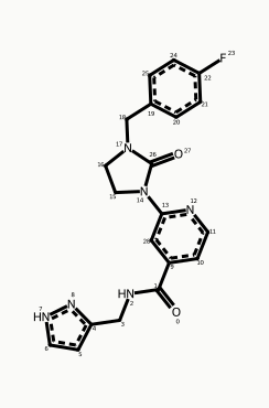 O=C(NCc1cc[nH]n1)c1ccnc(N2CCN(Cc3ccc(F)cc3)C2=O)c1